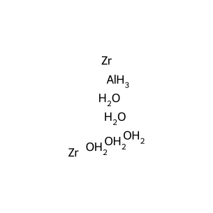 O.O.O.O.O.[AlH3].[Zr].[Zr]